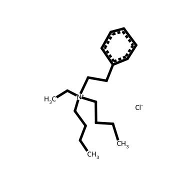 CCCC[N+](CC)(CCCC)CCc1ccccc1.[Cl-]